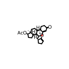 CC(=O)OC1CC[C@H]2[C@@H]3C(C)CC4=CC(=O)CC[C@]4(COC4=CCCC4)[C@@H]3CC[C@]12C